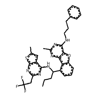 CCCC(Nc1nc(CC(F)(F)F)nc2sc(C)cc12)c1cccc2oc3c(NCCCc4ccccc4)nc(C)nc3c12